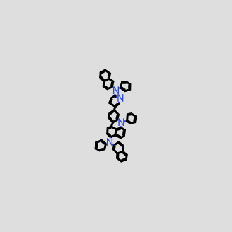 c1ccc(N(c2ccc3ccccc3c2)c2ccc(-c3ccc4c(c3)N(c3ccccc3)c3cccc5c(N(c6ccccc6)c6ccc7ccccc7c6)ccc-4c35)cn2)cc1